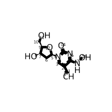 C#Cc1cn([C@H]2C[C@H](O)[C@@H](CO)O2)c(=O)nc1NO